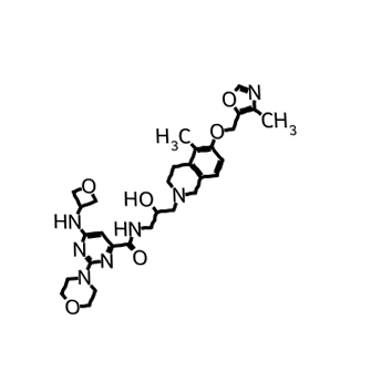 Cc1ncoc1COc1ccc2c(c1C)CCN(CC(O)CNC(=O)c1cc(NC3COC3)nc(N3CCOCC3)n1)C2